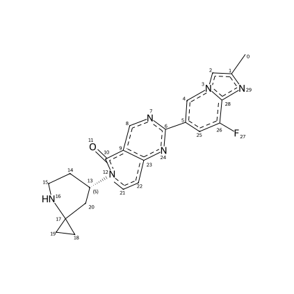 Cc1cn2cc(-c3ncc4c(=O)n([C@H]5CCNC6(CC6)C5)ccc4n3)cc(F)c2n1